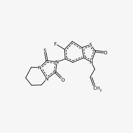 C=CCn1c(=O)sc2cc(F)c(-n3c(=O)n4n(c3=S)CCCC4)cc21